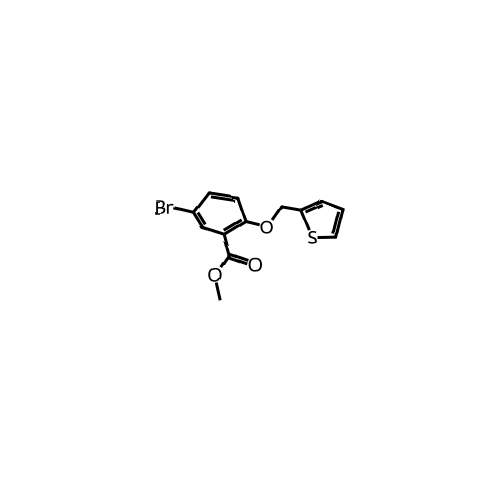 COC(=O)c1cc(Br)ccc1OCc1cccs1